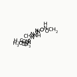 C=CC(=O)Nc1ccc(-n2cc(Nc3ncc(Cl)c(-c4cnn(C(=O)OC(C)(C)C)c4)n3)cn2)cc1